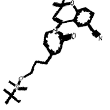 CC1(C)C=C(n2ccc(CCCO[Si](C)(C)C(C)(C)C)cc2=O)c2cc(C#N)ccc2O1